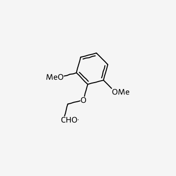 COc1cccc(OC)c1OC[C]=O